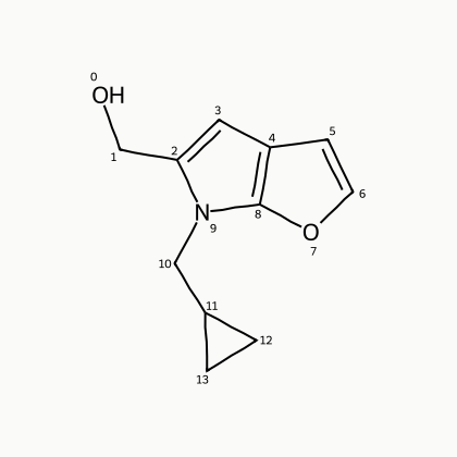 OCc1cc2ccoc2n1CC1CC1